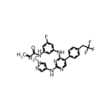 C=CC(=O)Nc1cc(F)cc(Nc2nc(Nc3cnn(C)c3)ncc2-c2ccc(CC(F)(F)F)cc2)c1